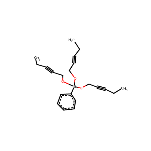 CCC#CCO[Si](OCC#CCC)(OCC#CCC)c1ccccc1